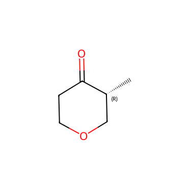 C[C@@H]1COCCC1=O